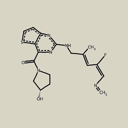 C=N/C=C(F)\C=C(/C)CNc1nc(C(=O)N2CC[C@H](O)C2)c2sccc2n1